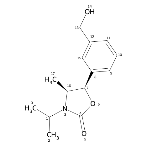 CC(C)N1C(=O)O[C@H](c2cccc(CO)c2)[C@@H]1C